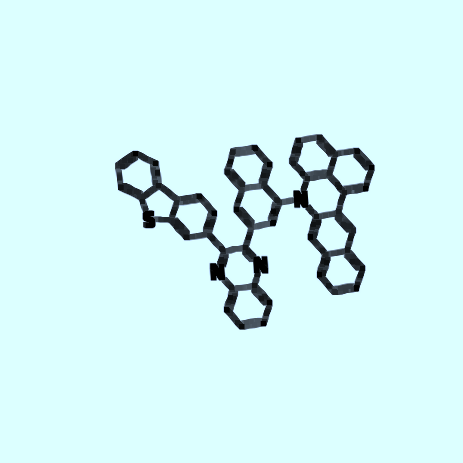 c1ccc2cc3c(cc2c1)-c1cccc2cccc(c12)N3c1cc(-c2nc3ccccc3nc2-c2ccc3c(c2)sc2ccccc23)cc2ccccc12